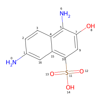 Nc1ccc2c(N)c(O)cc(S(=O)(=O)O)c2c1